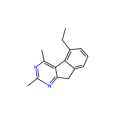 CCc1cccc2c1-c1c(C)nc(C)nc1C2